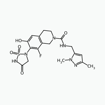 Cc1cc(CNC(=O)N2CCc3cc(O)c(N4CC(=O)NS4(=O)=O)c(F)c3C2)n(C)n1